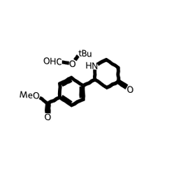 CC(C)(C)OC=O.COC(=O)c1ccc(C2CC(=O)CCN2)cc1